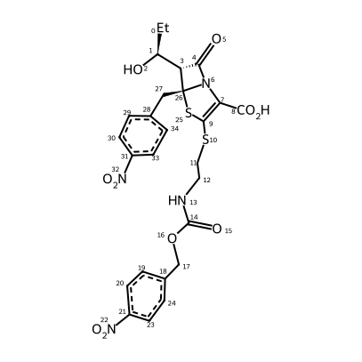 CC[C@H](O)[C@@H]1C(=O)N2C(C(=O)O)=C(SCCNC(=O)OCc3ccc([N+](=O)[O-])cc3)S[C@]12Cc1ccc([N+](=O)[O-])cc1